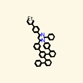 C/C=C\C(=C/CC)c1ccc(-c2cc(-c3cccc(-c4ccc(C5=CCCC=C5c5ccccc5)c(C5=CCCC=C5c5ccccc5)c4)c3)nc(C3=CCCC=C3)n2)cc1